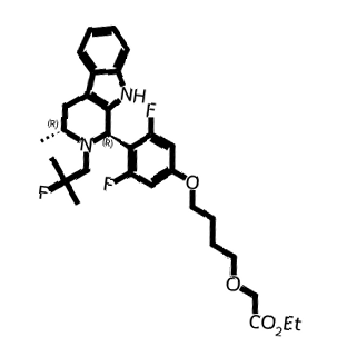 CCOC(=O)COCCCCOc1cc(F)c([C@@H]2c3[nH]c4ccccc4c3C[C@@H](C)N2CC(C)(C)F)c(F)c1